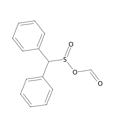 O=COS(=O)C(c1ccccc1)c1ccccc1